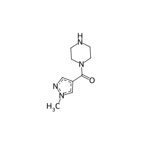 Cn1cc(C(=O)N2CCNCC2)cn1